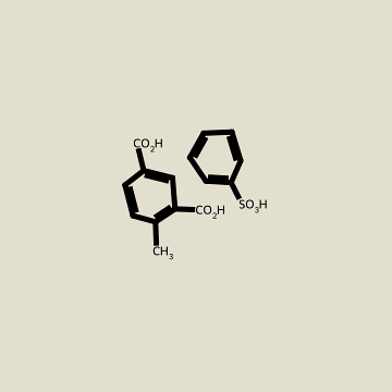 Cc1ccc(C(=O)O)cc1C(=O)O.O=S(=O)(O)c1ccccc1